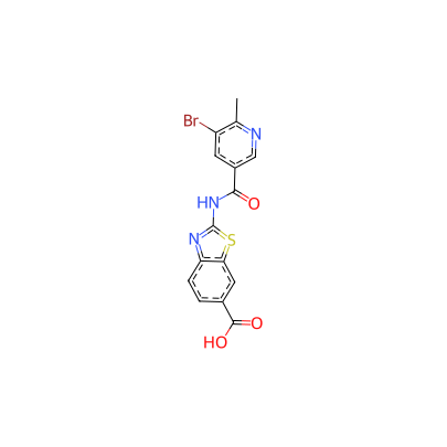 Cc1ncc(C(=O)Nc2nc3ccc(C(=O)O)cc3s2)cc1Br